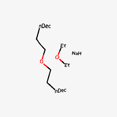 CCCCCCCCCCCCOCCCCCCCCCCCC.CCOCC.[NaH]